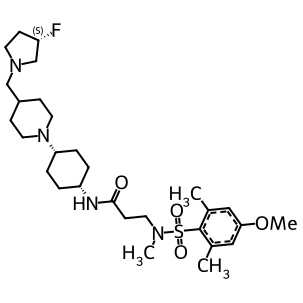 COc1cc(C)c(S(=O)(=O)N(C)CCC(=O)N[C@H]2CC[C@@H](N3CCC(CN4CC[C@H](F)C4)CC3)CC2)c(C)c1